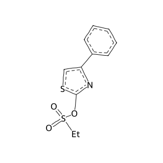 CCS(=O)(=O)Oc1nc(-c2ccccc2)cs1